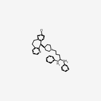 Clc1ccc2c(c1)CCc1cccnc1C2=C1CCN(CCCC([SiH2]c2ccccc2)[SiH2]c2ccccc2)CC1